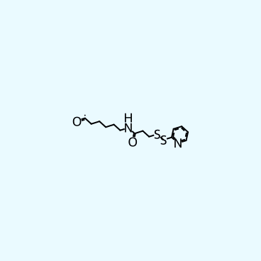 O=[C]CCCCCNC(=O)CCSSc1ccccn1